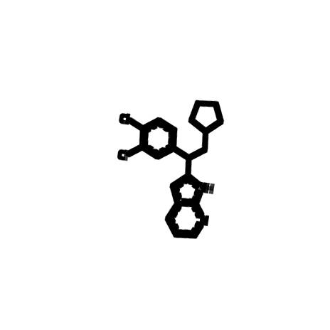 Clc1ccc(C(CC2CCCC2)c2cc3cccnc3[nH]2)cc1Cl